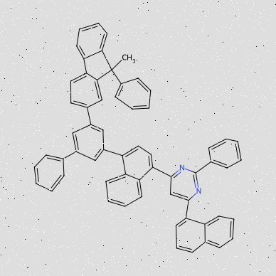 CC1(c2ccccc2)c2ccccc2-c2ccc(-c3cc(-c4ccccc4)cc(-c4ccc(-c5cc(-c6cccc7ccccc67)nc(-c6ccccc6)n5)c5ccccc45)c3)cc21